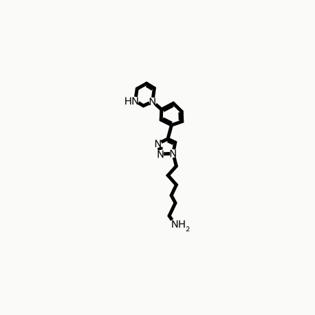 NCCCCCCn1cc(-c2cccc(N3C=CCNC3)c2)nn1